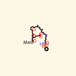 COC(=O)/C=C1\CC2CC(=O)OC(/C=C/C=C\CCCC(=O)NS(=O)(=O)c3ccccc3)C(C)/C=C/C(C)CC3CCCC(CC(C1)O2)O3